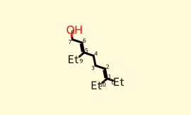 CCC(=CCC/C(=C/CO)CC)CC